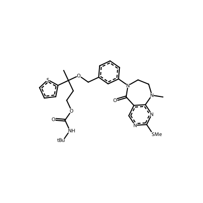 CSc1ncc2c(n1)N(C)CCN(c1cccc(COC(C)(CCOC(=O)NC(C)(C)C)c3cccs3)c1)C2=O